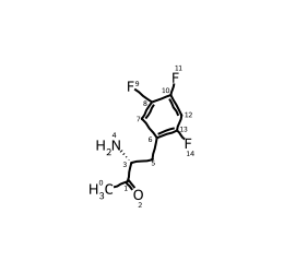 CC(=O)[C@H](N)Cc1cc(F)c(F)cc1F